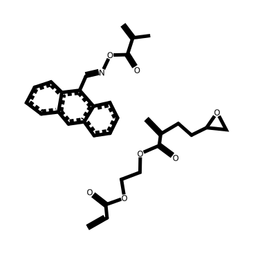 C=C(C)C(=O)ON=Cc1c2ccccc2cc2ccccc12.C=CC(=O)OCCOC(=O)C(=C)CCC1CO1